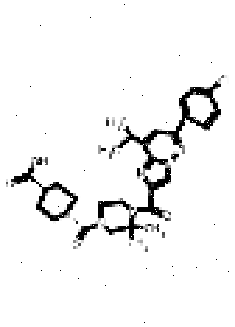 CC(C)c1cc(-c2ccc(Cl)cc2)nn2cc(C(=O)N3CCN(C(=O)[C@H]4CC[C@H](C(=O)O)CC4)CC3(C)C)nc12